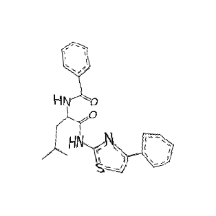 CC(C)CC(NC(=O)c1ccccc1)C(=O)Nc1nc(-c2ccccc2)cs1